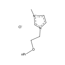 CCCOCCn1cc[n+](C)c1.[Cl-]